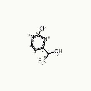 OC(c1ccnc(Cl)n1)C(F)(F)F